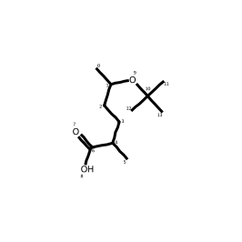 CC(CCC(C)C(=O)O)OC(C)(C)C